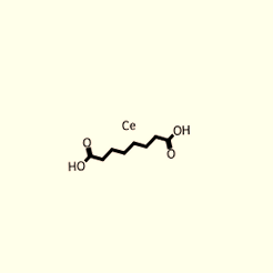 O=C(O)CCCCCCC(=O)O.[Ce]